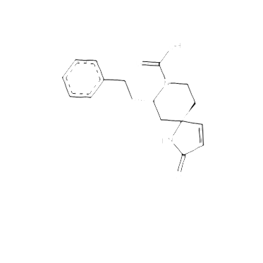 O=C1C=C[C@]2(CCN(C(=O)O)[C@@H](CCc3ccccc3)C2)N1